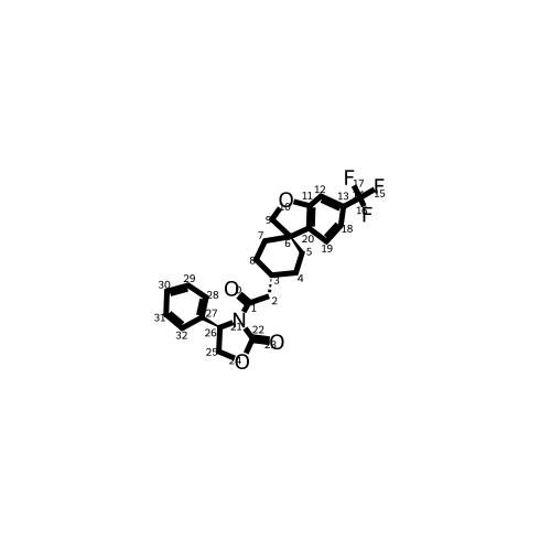 O=C(C[C@H]1CC[C@@]2(CC1)COc1cc(C(F)(F)F)ccc12)N1C(=O)OC[C@H]1c1ccccc1